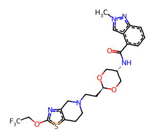 Cn1cc2c(C(=O)N[C@H]3CO[C@H](CCN4CCc5sc(OCC(F)(F)F)nc5C4)OC3)cccc2n1